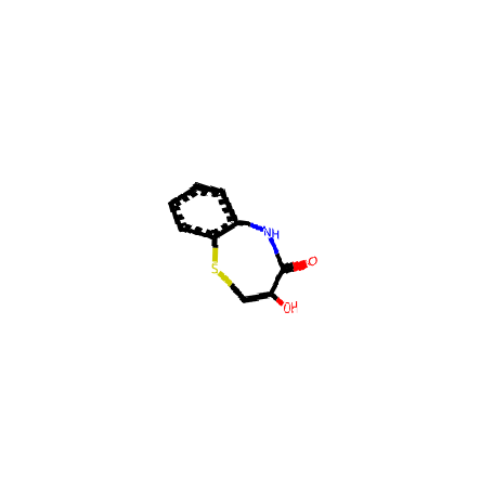 O=C1Nc2ccccc2SCC1O